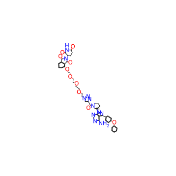 Nc1ncnc2c1c(-c1ccc(Oc3ccccc3)cc1)nn2[C@@H]1CCCN(C(=O)c2cn(CCOCCOCCOCCOc3cccc4c3C(=O)N(C3CCC(=O)NC3=O)C4=O)nn2)C1